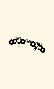 O=C1c2ccc(OCOc3ccc4c(c3)N=C[C@@H]3Cc5ccccc5CN3C4=O)cc2N=C[C@@H]2Cc3ccccc3CN12